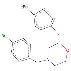 CC(C)(C)c1ccc(CC2CN(Cc3ccc(Br)cc3)CCO2)cc1